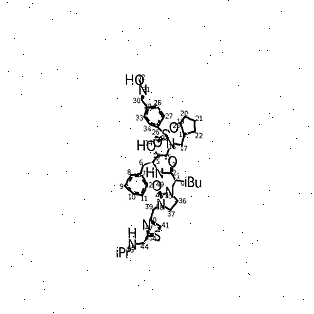 CC[C@H](C)[C@H](C(=O)N[C@@H](Cc1ccccc1)[C@@H](O)CN(CC1CCCC1)S(=O)(=O)c1ccc(C=NO)cc1)N1CCN(Cc2csc(CNC(C)C)n2)C1=O